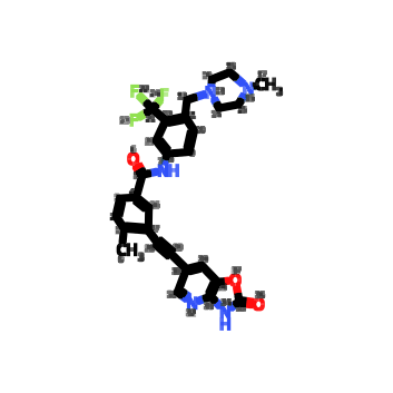 Cc1ccc(C(=O)Nc2ccc(CN3CCN(C)CC3)c(C(F)(F)F)c2)cc1C#Cc1cnc2[nH]c(=O)oc2c1